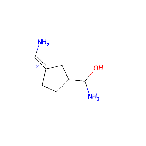 N/C=C1/CCC(C(N)O)C1